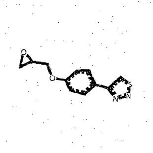 c1cc(-c2csnn2)ccc1OCC1CO1